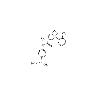 CCOC(=O)C(C)c1ccc(NC(=O)C(O)(CC2(c3ccccc3C(F)(F)F)CCC2)C(F)(F)F)cc1